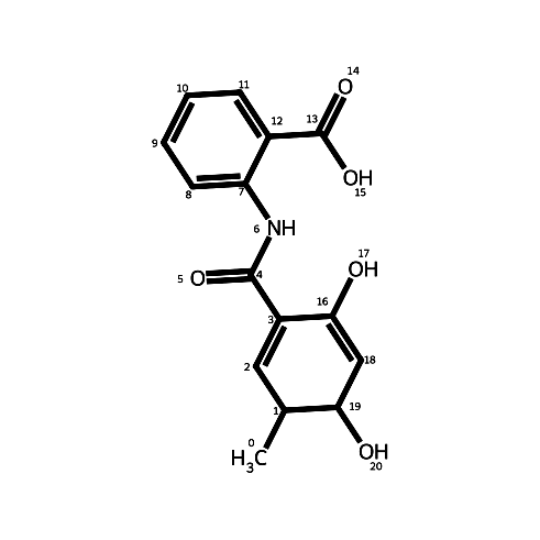 CC1C=C(C(=O)Nc2ccccc2C(=O)O)C(O)=CC1O